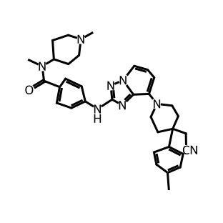 Cc1ccc(C2(CC#N)CCN(c3cccn4nc(Nc5ccc(C(=O)N(C)C6CCN(C)CC6)cc5)nc34)CC2)cc1